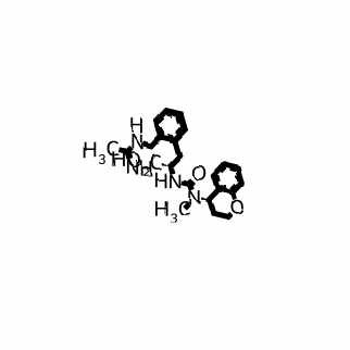 CC(=N)NCc1ccccc1C[C@H](NC(=O)N(C)[C@H]1CCOc2ccccc21)C(=O)O